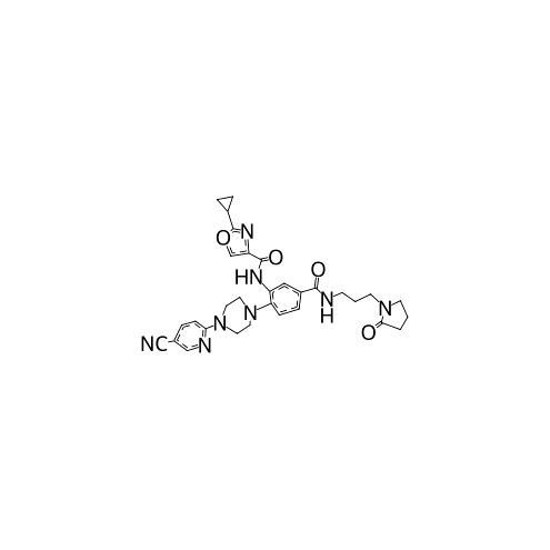 N#Cc1ccc(N2CCN(c3ccc(C(=O)NCCCN4CCCC4=O)cc3NC(=O)c3coc(C4CC4)n3)CC2)nc1